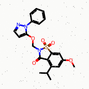 COc1cc(C(C)C)c2c(c1)S(=O)(=O)N(COc1ccnn1-c1ccccc1)C2=O